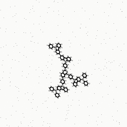 c1ccc(N(c2ccccc2)c2ccc3c(c2)c2ccccc2n3-c2ccc(-c3ccc4nc(-c5ccc(-n6c7ccccc7c7cc(-c8ccc9c(c8)c8ccccc8n9-c8ccccc8)ccc76)cc5)nc(-c5ccc(-n6c7ccccc7c7cc(N(c8ccccc8)c8ccccc8)ccc76)cc5)c4c3)cc2)cc1